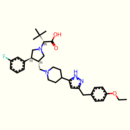 CCOc1ccc(Cc2cc(C3CCN(C[C@H]4CN([C@@H](C(=O)O)C(C)(C)C)C[C@@H]4c4cccc(F)c4)CC3)[nH]n2)cc1